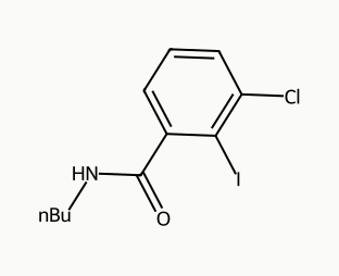 CCCCNC(=O)c1cccc(Cl)c1I